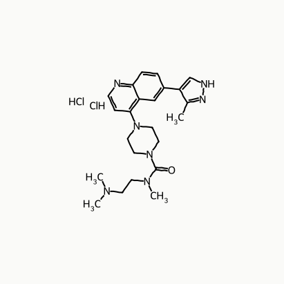 Cc1n[nH]cc1-c1ccc2nccc(N3CCN(C(=O)N(C)CCN(C)C)CC3)c2c1.Cl.Cl